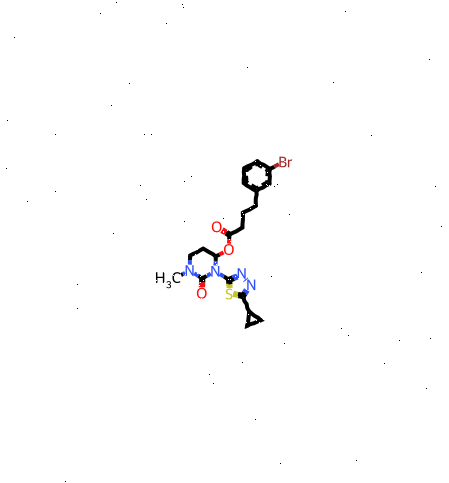 CN1CCC(OC(=O)CCCc2cccc(Br)c2)N(c2nnc(C3CC3)s2)C1=O